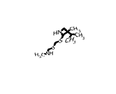 CNCSCSC1NCC1(C)C(C)C